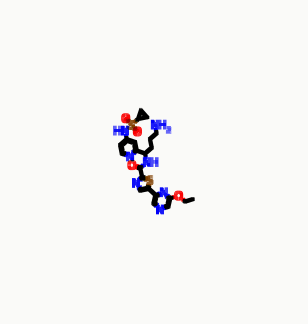 CCOc1cncc(-c2cnc(C(=O)NC(CCCN)c3cc(NS(=O)(=O)C4CC4)ccn3)s2)n1